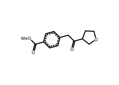 COC(=O)c1ccc(CC(=O)C2CCOC2)cc1